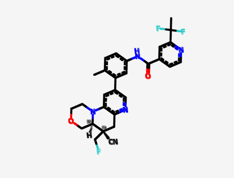 Cc1ccc(NC(=O)c2ccnc(C(C)(F)F)c2)cc1-c1cnc2c(c1)N1CCOC[C@@H]1[C@@](C#N)(CF)C2